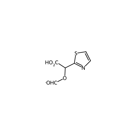 O=[C]OC(C(=O)O)c1nccs1